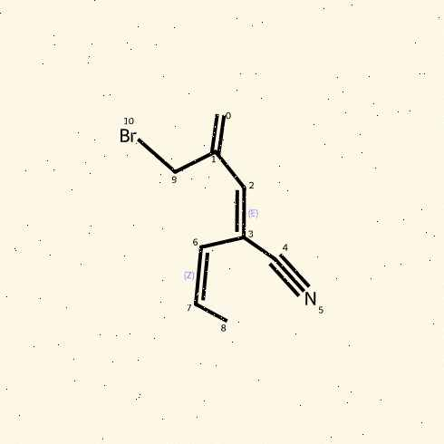 C=C(/C=C(C#N)\C=C/C)CBr